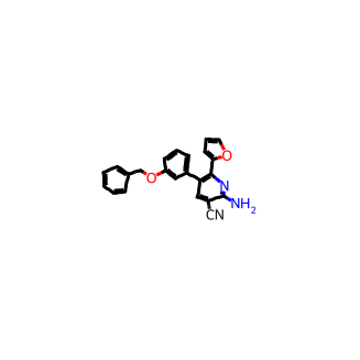 N#Cc1cc(-c2cccc(OCc3ccccc3)c2)c(-c2ccco2)nc1N